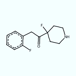 O=C(Cc1ccccc1F)C1(F)[CH]CNCC1